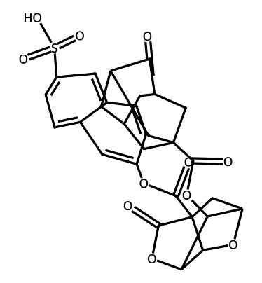 O=C1C2CC3CC1CC(C(=O)OC1C4CC5(C(=O)Oc6ccc7cc(S(=O)(=O)O)ccc7c6)C(=O)OC1C5O4)(C3)C2